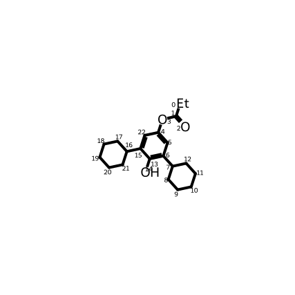 CCC(=O)Oc1cc(C2CCCCC2)c(O)c(C2CCCCC2)c1